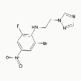 O=[N+]([O-])c1cc(F)c(NCCn2cncn2)c(Br)c1